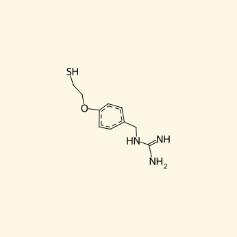 N=C(N)NCc1ccc(OCCS)cc1